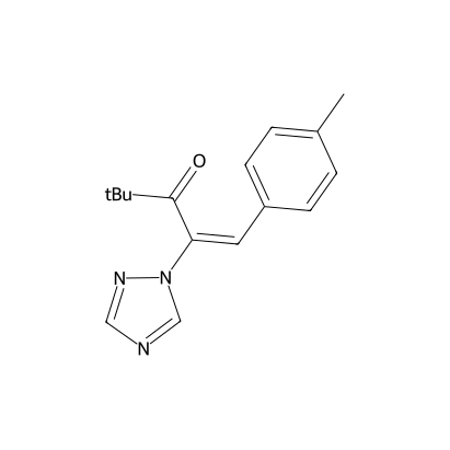 Cc1ccc(/C=C(\C(=O)C(C)(C)C)n2cncn2)cc1